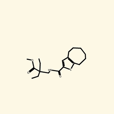 CCC(CC)(CNC(=O)c1cc2c(s1)CCCCCC2)C(=O)OC